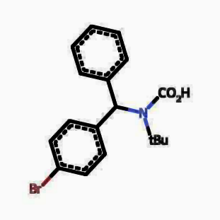 CC(C)(C)N(C(=O)O)C(c1ccccc1)c1ccc(Br)cc1